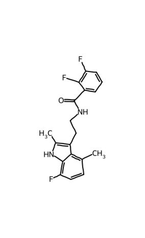 Cc1[nH]c2c(F)ccc(C)c2c1CCNC(=O)c1cccc(F)c1F